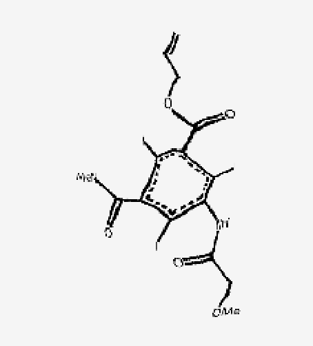 C=CCOC(=O)c1c(I)c(NC(=O)COC)c(I)c(C(=O)NC)c1I